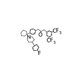 O=C(Cc1ccc(C2(N3CCC(c4ccc(F)cc4)CC3)CCCCC2)cc1)Cc1cc(C(F)(F)F)cc(C(F)(F)F)c1